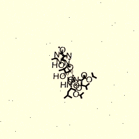 COc1nc(C)nc2c1ncn2[C@@H]1O[C@H](COP(=O)(NC(CC(C)C)C(=O)OC(C)C)NC(CC(C)C)C(=O)OC(C)C)[C@H](O)C1(C)O